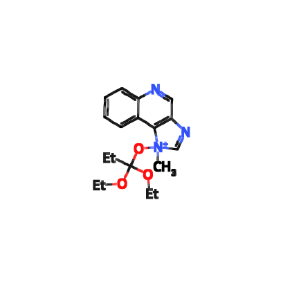 CCOC(CC)(OCC)O[N+]1(C)C=Nc2cnc3ccccc3c21